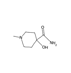 CN1CCC(O)(C(N)=O)CC1